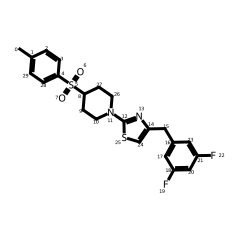 Cc1ccc(S(=O)(=O)C2CCN(c3nc(Cc4cc(F)cc(F)c4)cs3)CC2)cc1